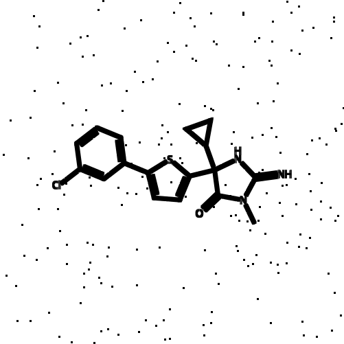 CN1C(=N)NC(c2ccc(-c3cccc(Cl)c3)s2)(C2CC2)C1=O